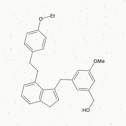 CCOc1ccc(CCc2cccc3c2C(Cc2cc(CO)cc(OC)c2)=CC3)cc1